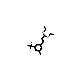 CCOC(/C=C/c1cc(C)cc(C(F)(F)F)c1)OCC